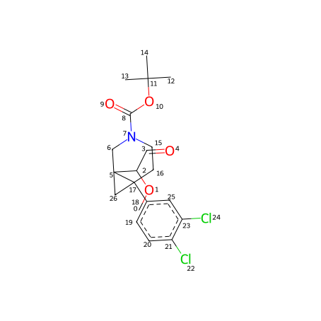 COC(C=O)C12CN(C(=O)OC(C)(C)C)CCC1(c1ccc(Cl)c(Cl)c1)C2